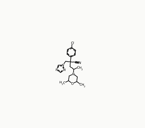 CC1CN(C(C)CC(C#N)(Cn2cncn2)c2ccc(Cl)cc2)CC(C)O1